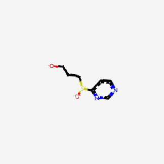 [O]CCC[S+]([O-])c1ccncn1